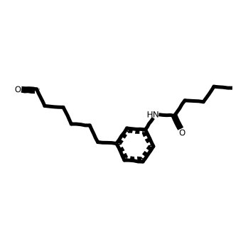 CCCCC(=O)Nc1cccc(CCCCC[C]=O)c1